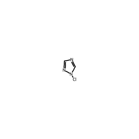 Cln1cncn1